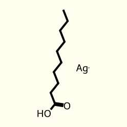 CCCCCCCCCC(=O)O.[Ag]